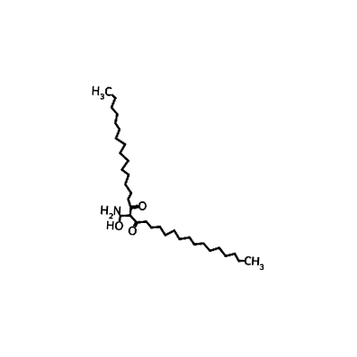 CCCCCCCCCCCCCCCC(=O)C(C(=O)CCCCCCCCCCCCCCC)C(N)O